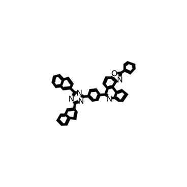 c1ccc(-c2nc3c(ccc4c(-c5ccc(-c6nc(-c7ccc8ccccc8c7)nc(-c7ccc8ccccc8c7)n6)cc5)nc5ccccc5c43)o2)cc1